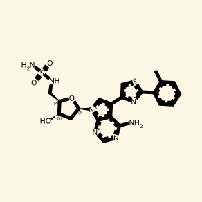 Cc1ccccc1-c1nc(-c2cn([C@H]3C[C@H](O)[C@@H](CNS(N)(=O)=O)O3)c3ncnc(N)c23)cs1